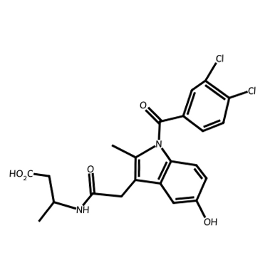 Cc1c(CC(=O)NC(C)CC(=O)O)c2cc(O)ccc2n1C(=O)c1ccc(Cl)c(Cl)c1